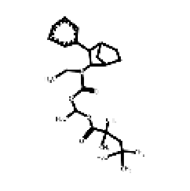 CCN(C(=O)OC(C)OC(=O)C(C)(C)CC(C)(C)C)C1C2CCC(C2)C1c1ccccc1